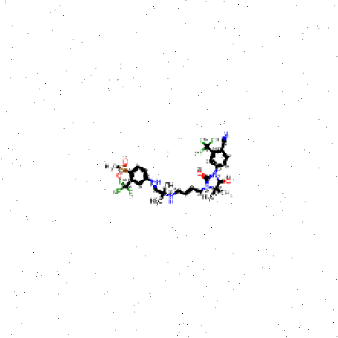 CC(C)(CNc1ccc(S(C)(=O)=O)c(C(F)(F)F)c1)NCC=CCN1C(=O)N(c2ccc(C#N)c(C(F)(F)F)c2)C(=O)C1(C)C